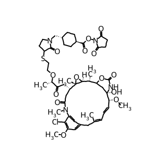 COc1cc2cc(c1Cl)N(C)C(=O)C[C@H](CC(=O)[C@H](C)OCCSC1CCN(C[C@H]3CC[C@H](C(=O)ON4C(=O)CCC4=O)CC3)C1=O)[C@]1(C)O[C@H]1[C@H](C)C1C[C@@](O)(NC(=O)O1)[C@H](OC)/C=C/C=C(\C)C2